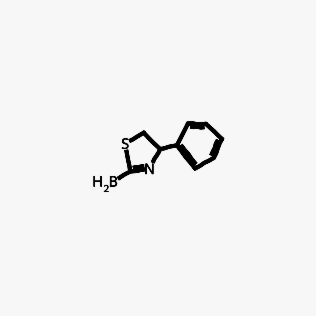 BC1=NC(c2ccccc2)CS1